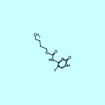 CCCCCOC(=O)Nc1nc(=O)[nH]cc1F